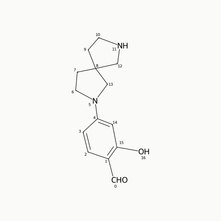 O=Cc1ccc(N2CCC3(CCNC3)C2)cc1O